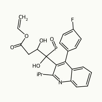 C=COC(=O)CC(O)C(O)(P=O)c1c(C(C)C)nc2ccccc2c1-c1ccc(F)cc1